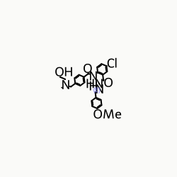 COc1ccc(/C=N/NC(=O)c2cc(Cl)ccc2NC(=O)c2ccc(CN(C)CCO)cc2)cc1